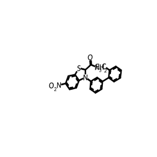 NC(=O)C1Sc2cc([N+](=O)[O-])ccc2N1c1cccc(-c2ccccc2C(F)(F)F)c1